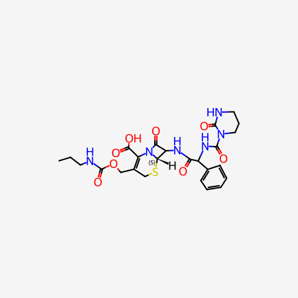 CCCNC(=O)OCC1=C(C(=O)O)N2C(=O)C(NC(=O)C(NC(=O)N3CCCNC3=O)c3ccccc3)[C@@H]2SC1